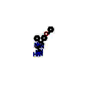 c1ccc(COc2ccc(-c3cnc4c(-c5nn[nH]n5)cnn4c3-c3ccccc3)cc2)cc1